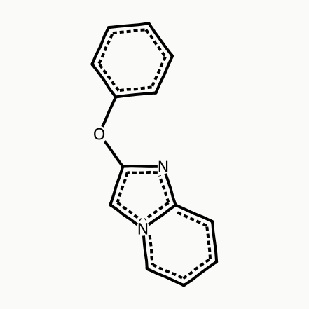 c1ccc(Oc2cn3ccccc3n2)cc1